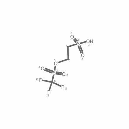 O=S(=O)(O)CCOS(=O)(=O)C(F)(F)F